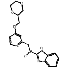 [O-][S+](Cc1cc(OCC2COCCO2)ccn1)c1nc2ccccc2[nH]1